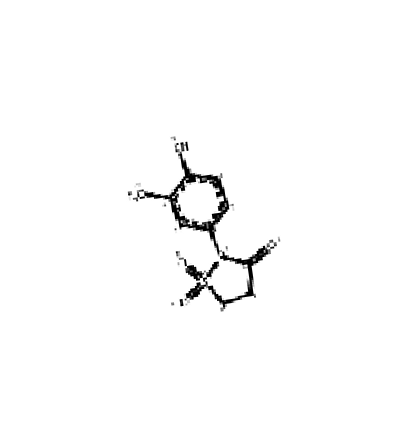 N#Cc1ccc(N2C(=O)CCS2(=O)=O)cc1C(F)(F)F